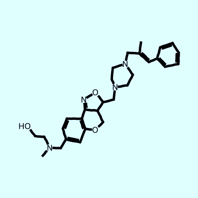 CC(=Cc1ccccc1)CN1CCN(CC2ON=C3c4ccc(CN(C)CCO)cc4OCC32)CC1